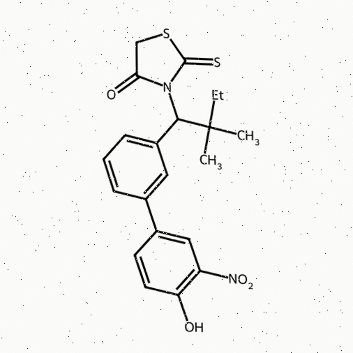 CCC(C)(C)C(c1cccc(-c2ccc(O)c([N+](=O)[O-])c2)c1)N1C(=O)CSC1=S